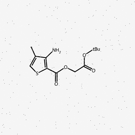 Cc1csc(C(=O)OCC(=O)OC(C)(C)C)c1N